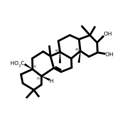 CC1(C)CC[C@]2(C(=O)O)CCC3(C)C(=CCC4[C@@]5(C)CC(O)C(O)C(C)(C)C5CC[C@]43C)[C@@H]2C1